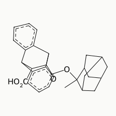 CC1(OC(=O)C2C3c4ccccc4C(c4ccccc43)C2C(=O)O)C2CC3CC(C2)CC1C3